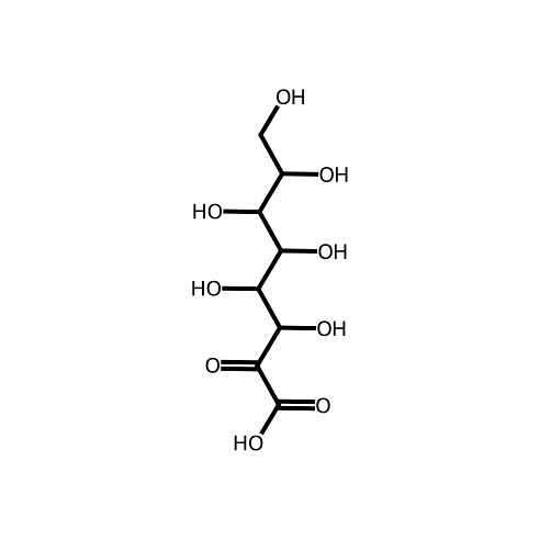 O=C(O)C(=O)C(O)C(O)C(O)C(O)C(O)CO